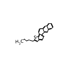 CCCCCc1cc2ccc3c4cc5ccccc5cc4ccc3c2s1